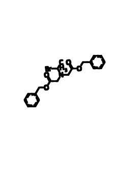 CC(Br)N(CC(=O)OCc1ccccc1)CC(=O)OCc1ccccc1